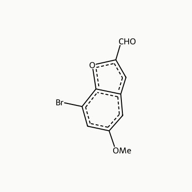 COc1cc(Br)c2oc(C=O)cc2c1